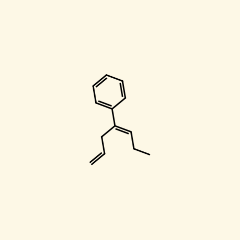 C=CCC(=CCC)c1ccccc1